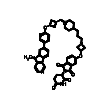 Cn1c2ccncc2c2ccc(-c3ccc(O[C@H]4C[C@H](CN5CCC(CCCN6CC(Oc7ccc8c(c7)C(=O)N(C7CCC(=O)NC7=O)C8=O)C6)CC5)C4)nc3)cc21